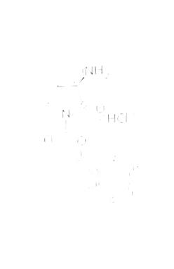 Cl.N[C@@H]1CCN(C(=O)OCc2ccccc2)C1=O